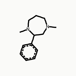 CN1CCCN(C)C(c2ccccc2)C1